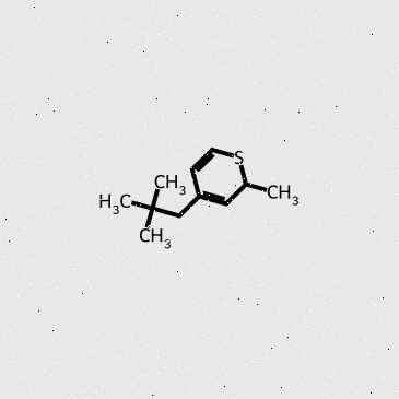 CC1C=C(CC(C)(C)C)C=CS1